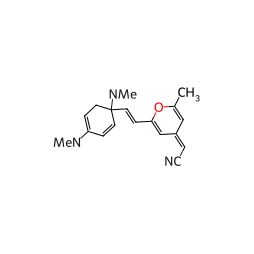 CNC1=CCC(C=CC2=CC(=CC#N)C=C(C)O2)(NC)C=C1